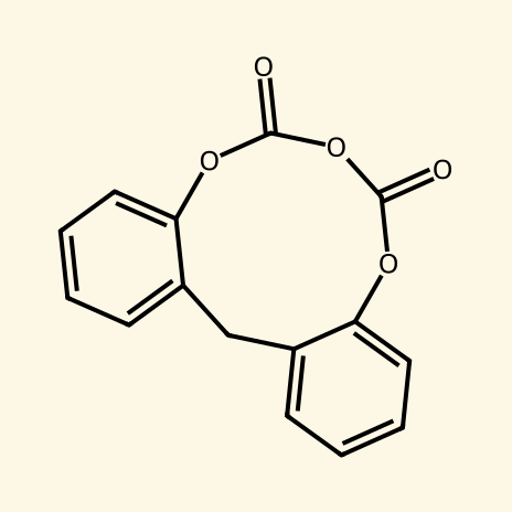 O=C1OC(=O)Oc2ccccc2Cc2ccccc2O1